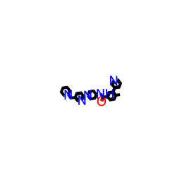 Cc1ccc(C(=O)NC2CCN(c3ccc(CN4CCCCC4)cn3)CC2)cc1-c1cccnc1